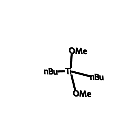 CCC[CH2][Ti]([CH2]CCC)([O]C)[O]C